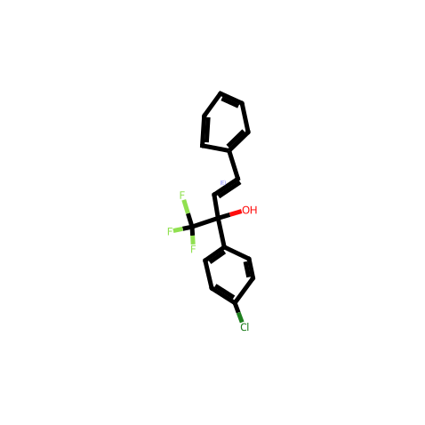 OC(/C=C/c1ccccc1)(c1ccc(Cl)cc1)C(F)(F)F